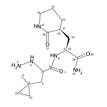 CC1(CC(NN)C(=O)N[C@@H](C[C@@H]2CCCNC2=O)C(N)=O)CC1